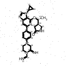 C[C@@H](Oc1nc(-c2ccc(N3CCN(C=N)C(=N)C3)cc2)cc2ncn(C3CC3)c12)[C@H]1CNC(=O)C1